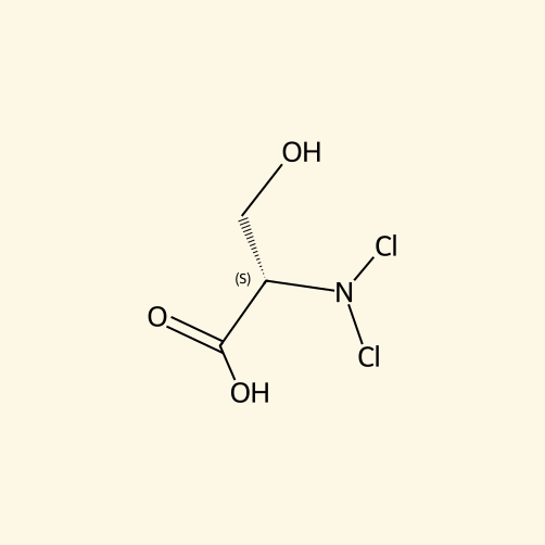 O=C(O)[C@H](CO)N(Cl)Cl